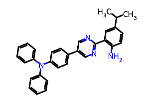 CC(C)c1ccc(N)c(-c2ncc(-c3ccc(N(c4ccccc4)c4ccccc4)cc3)cn2)c1